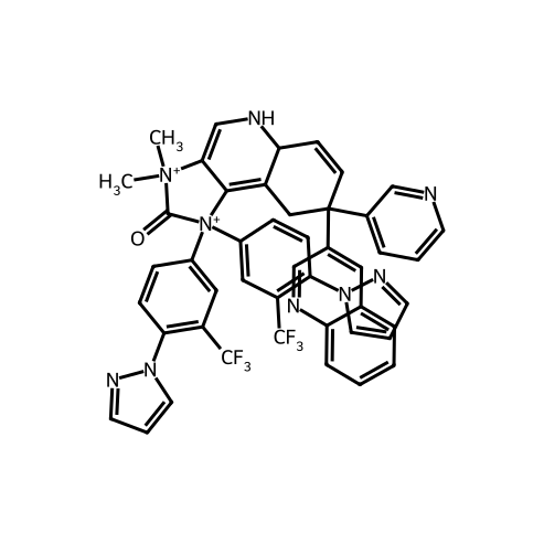 C[N+]1(C)C(=O)[N+](c2ccc(-n3cccn3)c(C(F)(F)F)c2)(c2ccc(-n3cccn3)c(C(F)(F)F)c2)C2=C3CC(c4cccnc4)(c4cnc5ccccc5c4)C=CC3NC=C21